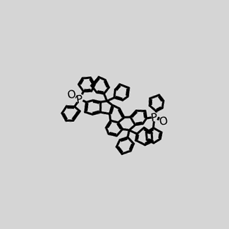 O=P(c1ccccc1)(c1ccccc1)c1ccc2c(c1)C(c1ccccc1)(c1ccccc1)c1cc3c4c(cccc4c1-2)C(c1ccccc1)(c1ccccc1)c1cc(P(=O)(c2ccccc2)c2ccccc2)ccc1-3